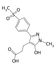 Cn1nc(-c2ccc(S(C)(=O)=O)cc2)c(CCC(=O)O)c1O